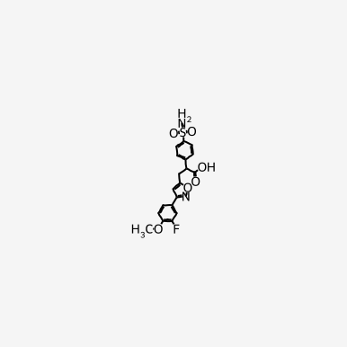 COc1ccc(-c2cc(CC(C(=O)O)c3ccc(S(N)(=O)=O)cc3)on2)cc1F